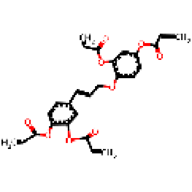 C=CC(=O)Oc1ccc(OC/C=C/c2ccc(OC(=O)C=C)c(OC(=O)C=C)c2)c(OC(=O)C=C)c1